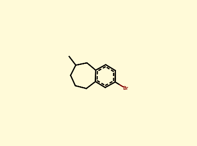 CC1CCCc2cc(Br)ccc2C1